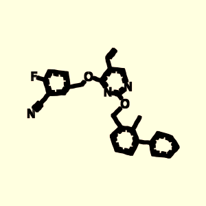 C=Cc1cnc(OCc2cccc(-c3ccccc3)c2C)nc1OCc1ccc(F)c(C#N)c1